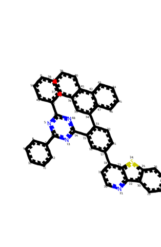 c1ccc(-c2nc(-c3ccccc3)nc(-c3cc(-c4ccnc5c4sc4ccccc45)ccc3-c3cc4ccccc4c4ccccc34)n2)cc1